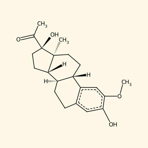 COc1cc2c(cc1O)CC[C@@H]1[C@@H]2CC[C@@]2(C)[C@H]1CC[C@]2(O)C(C)=O